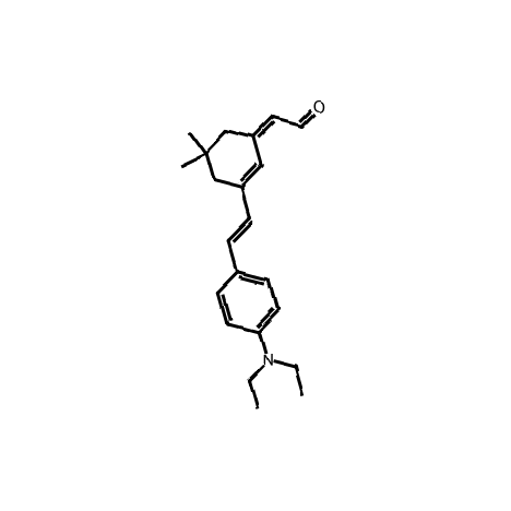 CCN(CC)c1ccc(C=CC2=CC(=CC=O)CC(C)(C)C2)cc1